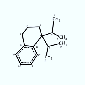 CC(C)C1(C(C)C)CCCc2ccccc21